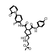 CS(=O)(=O)CNCC1(O)CC(C(=O)Nc2ccc(Cl)cc2)C(C(=O)Nc2ccc(-n3ccccc3=O)cc2F)C1